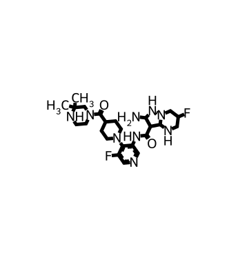 CC1(C)CN(C(=O)C2CCN(c3c(F)cncc3NC(=O)C3C(N)NN4CC(F)CNC34)CC2)CCN1